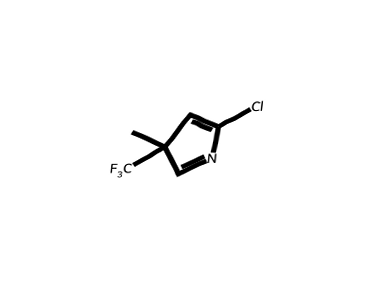 CC1(C(F)(F)F)C=NC(Cl)=C1